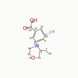 CCC1COCCN1c1cc(F)cc(C(=O)O)c1